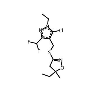 CCn1nc(C(F)F)c(CSC2=NOC(C)(CC)C2)c1Cl